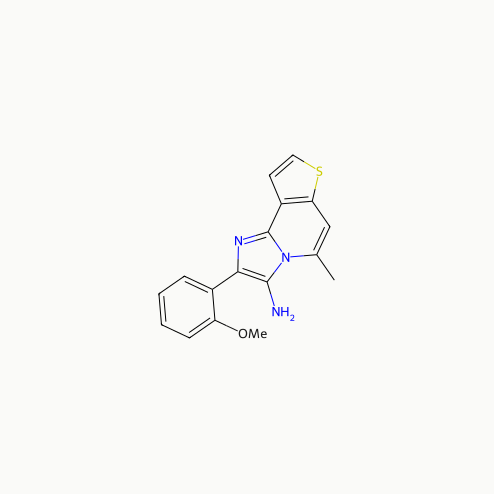 COc1ccccc1-c1nc2c3ccsc3cc(C)n2c1N